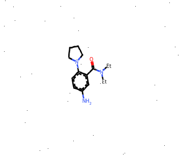 CCN(CC)C(=O)c1cc(N)ccc1N1CCCC1